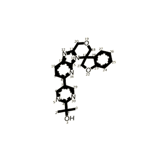 CC(C)(O)c1ncc(-c2ccc3nc4n(c3n2)C2(COC4)COc3ccccc32)cn1